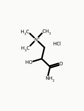 C[N+](C)(C)CC(O)C(N)=O.Cl